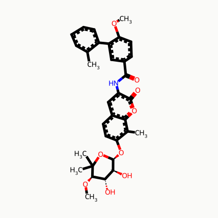 COc1ccc(C(=O)Nc2cc3ccc(O[C@@H]4OC(C)(C)[C@H](OC)[C@@H](O)[C@@H]4O)c(C)c3oc2=O)cc1-c1ccccc1C